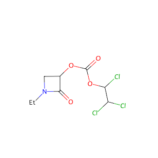 CCN1CC(OC(=O)OC(Cl)C(Cl)Cl)C1=O